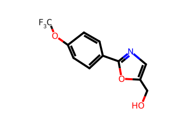 OCc1cnc(-c2ccc(OC(F)(F)F)cc2)o1